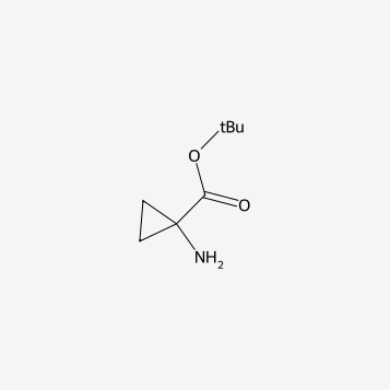 CC(C)(C)OC(=O)C1(N)CC1